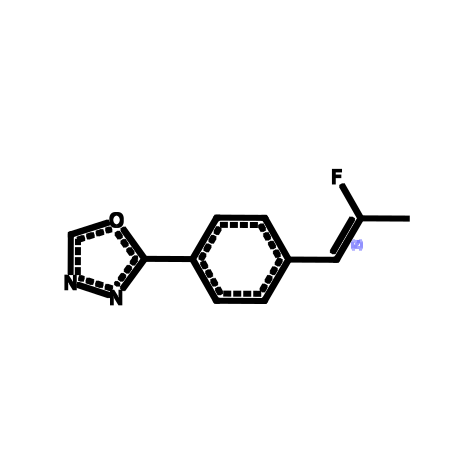 C/C(F)=C/c1ccc(-c2nnco2)cc1